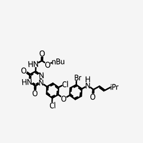 CCCCOC(=O)Nc1nn(-c2cc(Cl)c(Oc3ccc(NC(=O)C=CC(C)C)c(Br)c3)c(Cl)c2)c(=O)[nH]c1=O